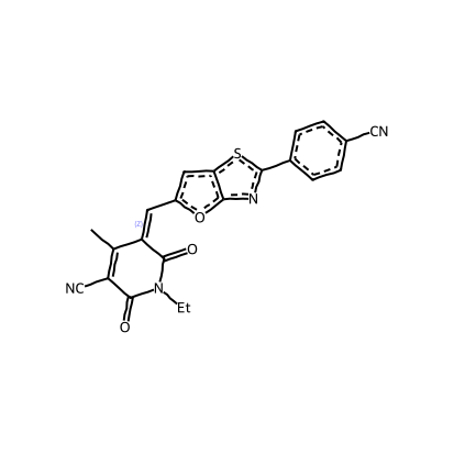 CCN1C(=O)C(C#N)=C(C)/C(=C/c2cc3sc(-c4ccc(C#N)cc4)nc3o2)C1=O